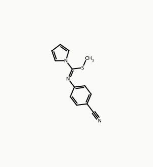 CSC(=Nc1ccc(C#N)cc1)n1cccc1